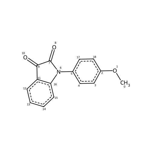 COc1ccc(N2C(=O)C(=O)c3ccccc32)cc1